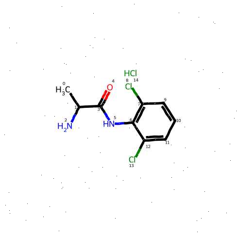 CC(N)C(=O)Nc1c(Cl)cccc1Cl.Cl